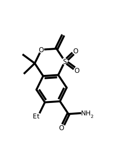 C=C1OC(C)(C)c2cc(CC)c(C(N)=O)cc2S1(=O)=O